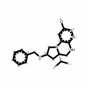 FC(F)[C@@]12CNc3nnc(Cl)cc3N1CC(OCc1ccccc1)C2